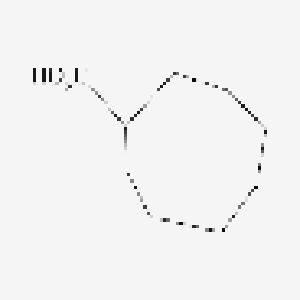 O=C(O)C1CCCCCCC1